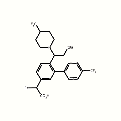 CCC(C(=O)O)c1ccc(C(CC(C)(C)C)N2CCC(C(F)(F)F)CC2)c(-c2ccc(C(F)(F)F)cc2)c1